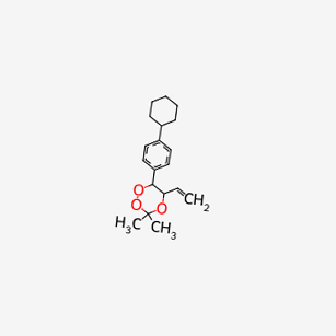 C=CC1OC(C)(C)OOC1c1ccc(C2CCCCC2)cc1